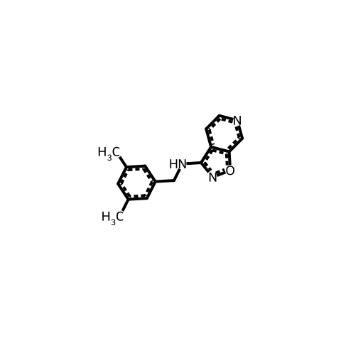 Cc1cc(C)cc(CNc2noc3cnccc23)c1